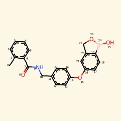 Cc1ccccc1C(=O)NCc1ccc(Oc2ccc3c(c2)COB3O)cc1